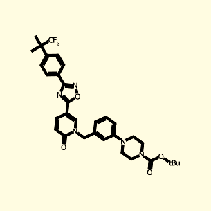 CC(C)(C)OC(=O)N1CCN(c2cccc(Cn3cc(-c4nc(-c5ccc(C(C)(C)C(F)(F)F)cc5)no4)ccc3=O)c2)CC1